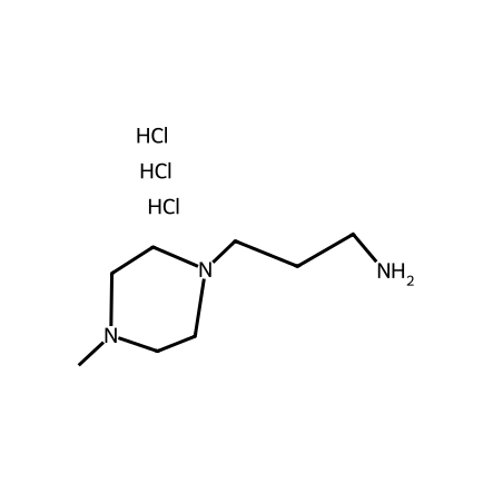 CN1CCN(CCCN)CC1.Cl.Cl.Cl